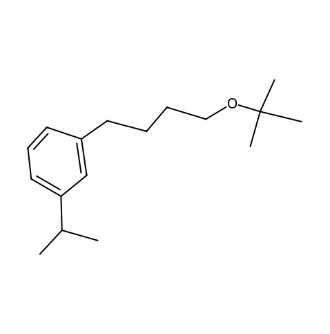 CC(C)c1cccc(CCCCOC(C)(C)C)c1